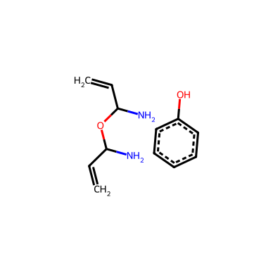 C=CC(N)OC(N)C=C.Oc1ccccc1